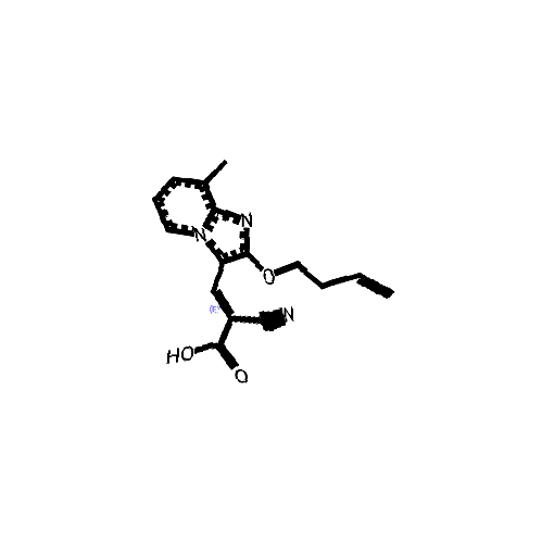 C=CCCOc1nc2c(C)cccn2c1/C=C(\C#N)C(=O)O